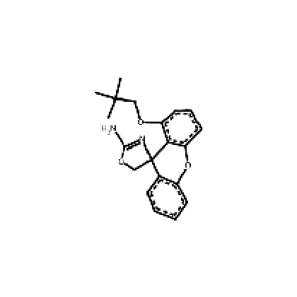 CC(C)(C)COc1cccc2c1C1(COC(N)=N1)c1ccccc1O2